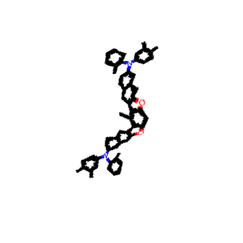 Cc1ccc(N(c2ccc3cc4c(cc3c2)oc2cc3oc5cc6cc(N(c7ccc(C)c(C)c7)c7ccccc7C)ccc6cc5c3c(C)c24)c2ccccc2C)cc1C